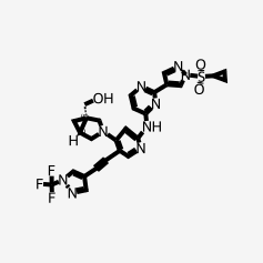 O=S(=O)(C1CC1)n1cc(-c2nccc(Nc3cc(N4C[C@H]5C[C@@]5(CO)C4)c(C#Cc4cnn(C(F)(F)F)c4)cn3)n2)cn1